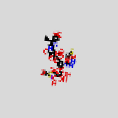 CC[C@@]1(OC(=O)OCc2ccc(O[C@@H]3OC(C(=O)/S(I)=B/B=O)[C@@H](O)[C@H](O)C3O)c(NC(=O)CN(C)C(=O)OB(I)B=S)c2)C(=O)OCc2c1cc1n(c2=O)Cc2c-1nc1cc3c(cc1c2C1CC1)OCO3